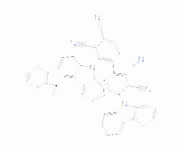 CC1(C)c2ccccc2-c2ccc3c(c21)c1ccccc1n3-c1c(-c2ccc(-n3c4ccccc4c4ccccc43)c(C#N)c2C#N)ccc(C#N)c1C#N